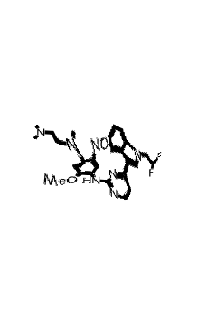 COc1cc(N(C)CCN(C)C)c([N+](=O)[O-])cc1Nc1nccc(-c2cn(CC(F)F)c3ccccc23)n1